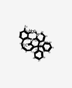 C=C1/C2=C\C=C/Cc3ccc(I)c(C)c3N1c1c(ccc[n+]1C)C2(c1ccccc1)c1ccccc1